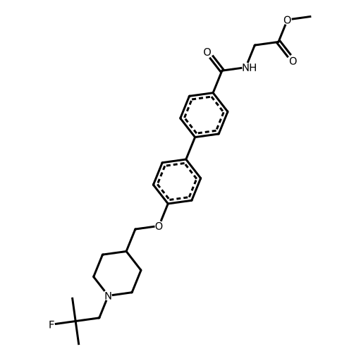 COC(=O)CNC(=O)c1ccc(-c2ccc(OCC3CCN(CC(C)(C)F)CC3)cc2)cc1